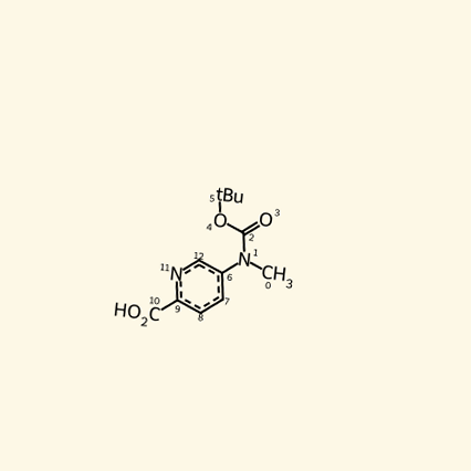 CN(C(=O)OC(C)(C)C)c1ccc(C(=O)O)nc1